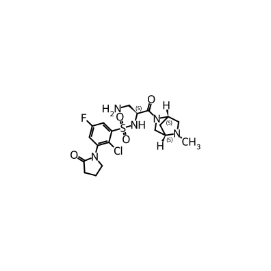 CN1C[C@@H]2C[C@H]1CN2C(=O)[C@H](CN)NS(=O)(=O)c1cc(F)cc(N2CCCC2=O)c1Cl